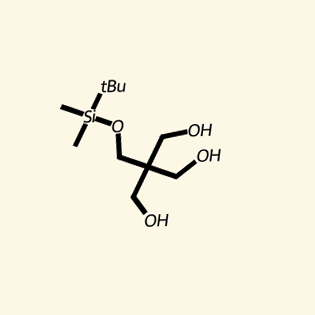 CC(C)(C)[Si](C)(C)OCC(CO)(CO)CO